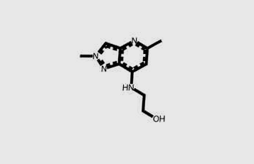 Cc1cc(NCCO)c2nn(C)cc2n1